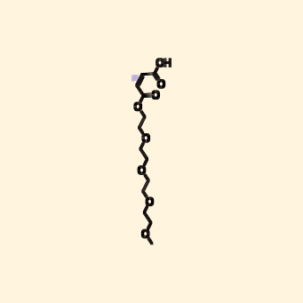 COCCOCCOCCOCCOC(=O)/C=C\C(=O)O